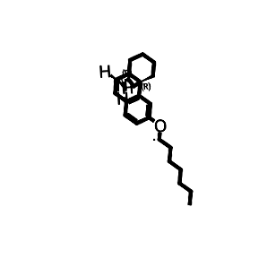 CCCCCC[CH]Oc1ccc2c(c1)[C@@]13CCCC[C@H]1[C@@H](C2)NCC3